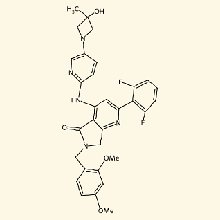 COc1ccc(CN2Cc3nc(-c4c(F)cccc4F)cc(Nc4ccc(N5CC(C)(O)C5)cn4)c3C2=O)c(OC)c1